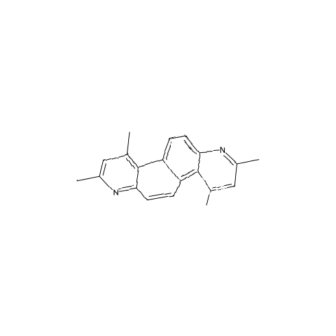 Cc1cc(C)c2c(ccc3c2ccc2nc(C)cc(C)c23)n1